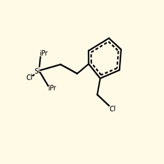 CC(C)[Si](Cl)(CCc1ccccc1CCl)C(C)C